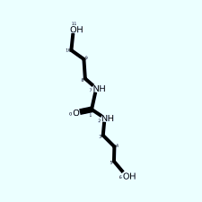 O=C(NCCCO)NCCCO